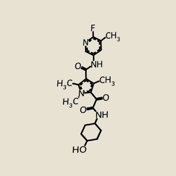 Cc1cc(NC(=O)c2c(C)c(C(=O)C(=O)NC3CCC(O)CC3)n(C)c2C)cnc1F